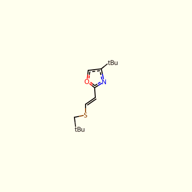 CC(C)(C)CS/C=C/c1nc(C(C)(C)C)co1